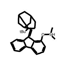 C[SiH](C)Oc1cccc2c1/C(=C1/C3CC4CC(C3)C(C(C)(C)C)C1C4)c1ccccc1-2